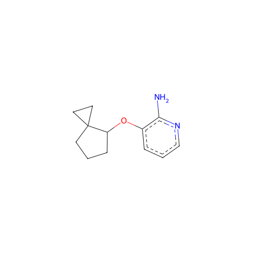 Nc1ncccc1OC1CCCC12CC2